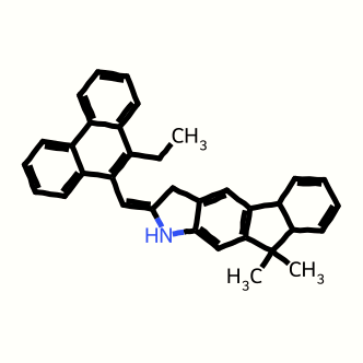 CCc1c(/C=C2\Cc3cc4c(cc3N2)C(C)(C)C2C=CC=CC42)c2ccccc2c2ccccc12